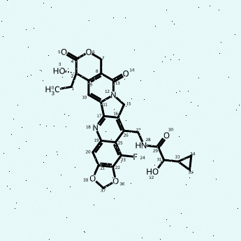 CC[C@@]1(O)C(=O)OCc2c1cc1n(c2=O)Cc2c-1nc1cc3c(c(F)c1c2CNC(=O)C(O)C1CC1)OCO3